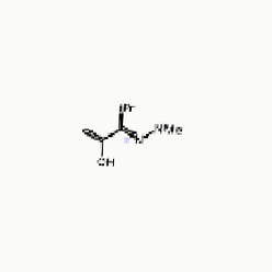 C=C(O)/C(=N/NC)C(C)C